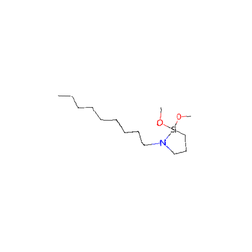 CCCCCCCCCN1CCC[Si]1(OC)OC